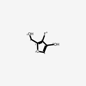 OCc1occ(O)c1F